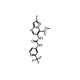 CO[C@@H](C)c1c(NC(=O)Nc2ccnc(C(F)(F)F)c2)cnc2cc(F)nn12